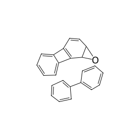 C1=CC2OC2C2=C1c1ccccc12.c1ccc(-c2ccccc2)cc1